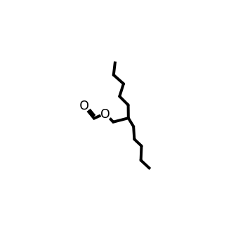 CCCCCC(CCCCC)COC=O